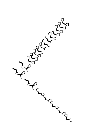 CCOC(C)=O.CCOC(C)=O.CCOC(C)=O.ClCCl.ClCCl.ClCCl.ClCCl.ClCCl.ClCCl.ClCCl.ClCCl.ClCCl.ClCCl.ClCCl.ClCCl.ClCCl.ClCCl.ClCCl.ClCCl.ClCCl